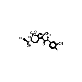 C#CC(O)[C@H]1CCc2c(cn(C)c2C(=O)Nc2ccc(F)c(C#N)c2)S(=O)(=O)N1